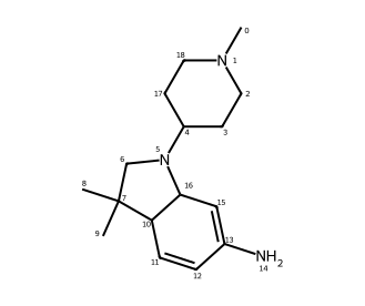 CN1CCC(N2CC(C)(C)C3C=CC(N)=CC32)CC1